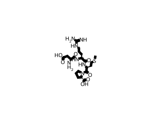 CSCC[C@H](NC(=O)[C@H](CCCNC(=N)N)NC(=O)[C@@H](N)CC(=O)O)C(=O)N1CCC[C@H]1C(=O)O